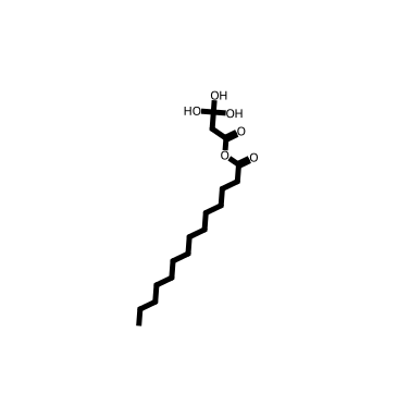 CCCCCCCCCCCCCC(=O)OC(=O)CC(O)(O)O